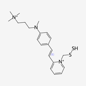 CN(CCC[N+](C)(C)C)c1ccc(/C=C/c2cccc[n+]2CSS)cc1